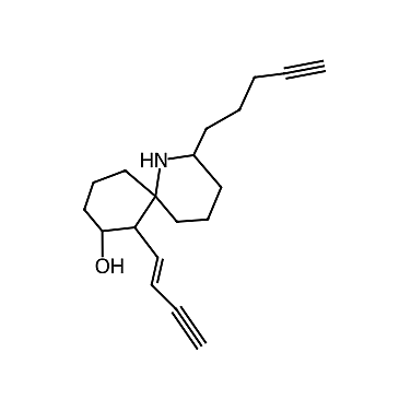 C#CC=CC1C(O)CCCC12CCCC(CCCC#C)N2